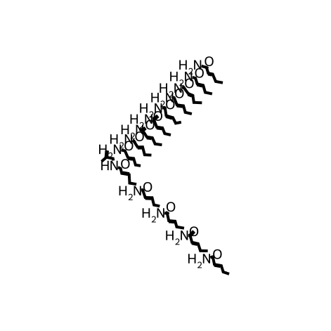 C=C(C)CNC(=O)C=CCC.CCC=CC(N)=O.CCC=CC(N)=O.CCC=CC(N)=O.CCC=CC(N)=O.CCC=CC(N)=O.CCC=CC(N)=O.CCC=CC(N)=O.CCC=CC(N)=O.CCC=CC(N)=O.CCC=CC(N)=O.CCC=CC(N)=O.CCC=CC(N)=O.CCC=CC(N)=O